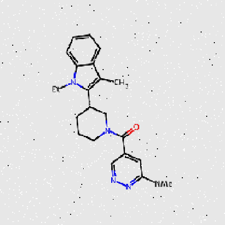 CCn1c(C2CCCN(C(=O)c3cnnc(NC)c3)C2)c(C)c2ccccc21